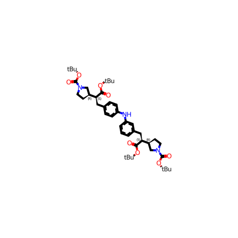 CC(C)(C)OC(=O)[C@@H](Cc1ccc(Nc2cccc(C[C@H](C(=O)OC(C)(C)C)[C@H]3CCN(C(=O)OC(C)(C)C)C3)c2)cc1)[C@H]1CCN(C(=O)OC(C)(C)C)C1